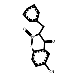 N#Cc1ccc2c(c1)C(=O)C(Cc1ccccc1)[N+](=O)S2